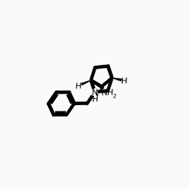 N[C@@H]1[C@@H]2CC[C@H]1N(Cc1ccccc1)C2